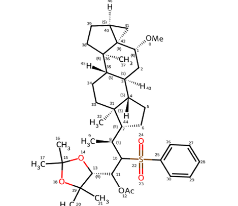 CO[C@@H]1C[C@H]2[C@@H]3CC[C@H]([C@H](C)C(C(OC(C)=O)[C@H]4OC(C)(C)OC4(C)C)S(=O)(=O)c4ccccc4)[C@@]3(C)CC[C@@H]2[C@@]2(C)CC[C@H]3C[C@]312